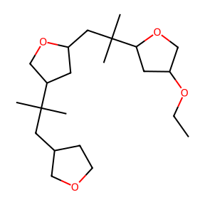 CCOC1COC(C(C)(C)CC2CC(C(C)(C)CC3CCOC3)CO2)C1